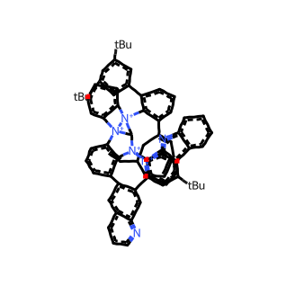 C=CC1CC=CC=C(c2cccc(-c3cc(C(C)(C)C)cc(C(C)(C)C)c3)c2[N+]23c4ccccc4[N+]24c2cccc5c2[N+]2(c6c(ccc7c8ccccc8n(c67)-c6cc(C(C)(C)C)cc[n+]62)-c2cc6ncccc6cc2-5)C43)C1